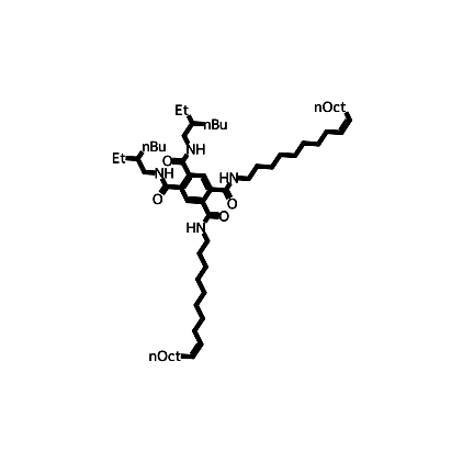 CCCCCCCC/C=C\CCCCCCCCNC(=O)c1cc(C(=O)NCC(CC)CCCC)c(C(=O)NCC(CC)CCCC)cc1C(=O)NCCCCCCCC/C=C\CCCCCCCC